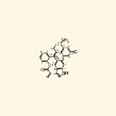 C=CC(=O)Oc1ccccc1/C(=C(\CC)c1ccc(Cl)cc1CN)c1ccc2[nH]ncc2c1